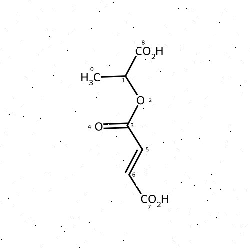 CC(OC(=O)/C=C/C(=O)O)C(=O)O